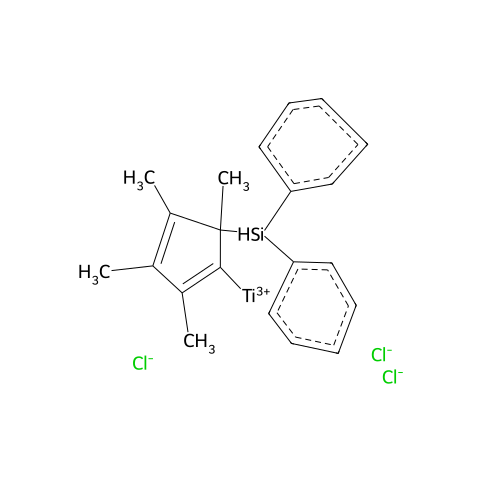 CC1=C(C)C(C)([SiH](c2ccccc2)c2ccccc2)[C]([Ti+3])=C1C.[Cl-].[Cl-].[Cl-]